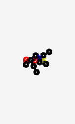 c1ccc(-c2ccc(-c3c4oc5c(N(c6ccc(-c7ccccc7)cc6)c6cccc7c6sc6ccccc67)cccc5c4cc4oc5ccccc5c34)cc2)cc1